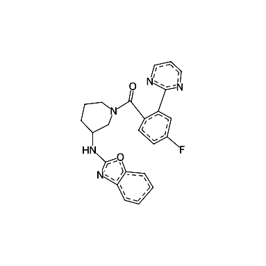 O=C(c1ccc(F)cc1-c1ncccn1)N1CCCC(Nc2nc3ccccc3o2)C1